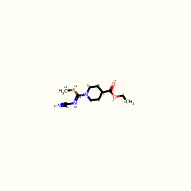 CCOC(=O)C1CCN(/C(=N/C#N)SC)CC1